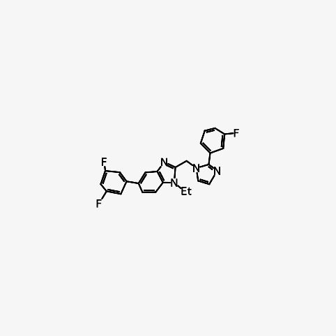 CCn1c(Cn2ccnc2-c2cccc(F)c2)nc2cc(-c3cc(F)cc(F)c3)ccc21